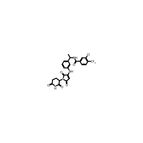 CC(NC(=O)c1ccc(C(F)(F)F)c(Cl)c1)c1cccc(NC2=CC(=O)N(C3CCC(=O)NC3=O)C2=O)c1